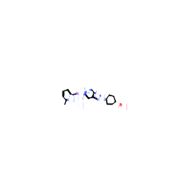 Cc1cccc(C(=O)Nc2cc3cn([C@H]4CC[C@H](CO)CC4)nc3cn2)n1